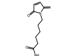 C=C1C=CC(=O)N1CCCCCC(N)=O